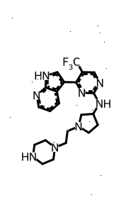 FC(F)(F)c1cnc(NC2CCN(CCN3CCNCC3)C2)nc1-c1c[nH]c2ncccc12